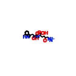 Cc1cccc2c(CC(O)C(=O)NC(CCC(=O)C=[N+]=[N-])C(=O)O)c[nH]c12